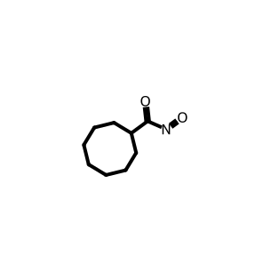 O=NC(=O)C1CCCCCCC1